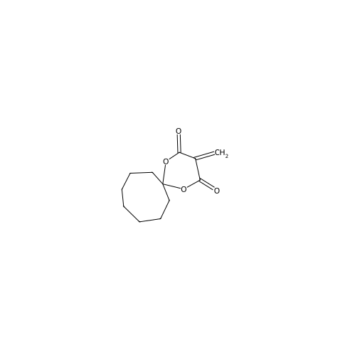 C=C1C(=O)OC2(CCCCCCC2)OC1=O